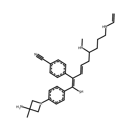 C=CNCCCC(C/C=C/C(=C(\S)c1ccc(N2CC(C)(N)C2)cc1)c1ccc(C#N)cc1)NC